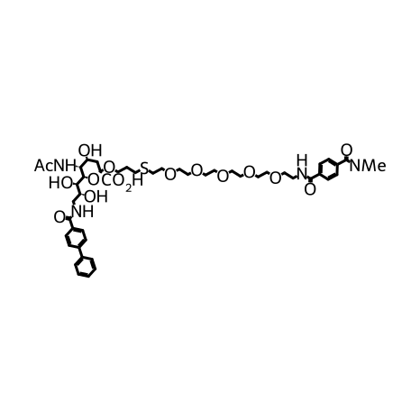 CNC(=O)c1ccc(C(=O)NCCOCCOCCOCCOCCOCCSCCCO[C@]2(C(=O)O)C[C@H](O)[C@@H](NC(C)=O)[C@H]([C@H](O)[C@H](O)CNC(=O)c3ccc(-c4ccccc4)cc3)O2)cc1